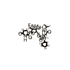 CC(C)OC(=O)[C@H](C)N[P@](=O)(OC[C@H]1O[C@@H](n2ccc(=O)[nH]c2=O)[C@@](N)(CF)C1O)Oc1ccccc1